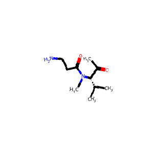 CC(=O)[C@H](C(C)C)N(C)C(=O)CCN